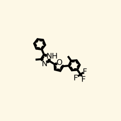 Cc1ccc(C(F)(F)F)cc1-c1ccc(-c2nc(C)c(-c3ccccc3)[nH]2)o1